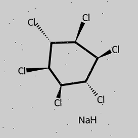 Cl[C@H]1[C@H](Cl)[C@@H](Cl)[C@@H](Cl)[C@H](Cl)[C@H]1Cl.[NaH]